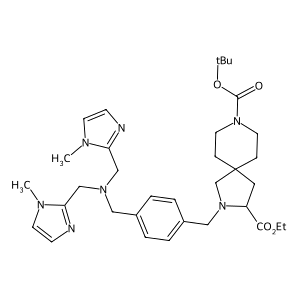 CCOC(=O)C1CC2(CCN(C(=O)OC(C)(C)C)CC2)CN1Cc1ccc(CN(Cc2nccn2C)Cc2nccn2C)cc1